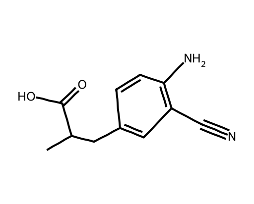 CC(Cc1ccc(N)c(C#N)c1)C(=O)O